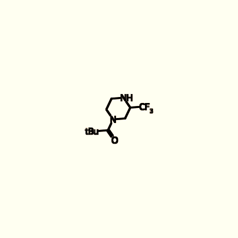 CC(C)(C)C(=O)N1CCNC(C(F)(F)F)C1